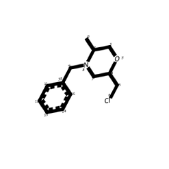 CC1COC(CCl)CN1Cc1ccccc1